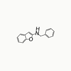 c1ccc(CNc2cc3ccccc3o2)cc1